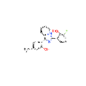 Oc1cc(C(F)(F)F)ccc1-c1nc(-c2cccc(F)c2O)n2ccccc12